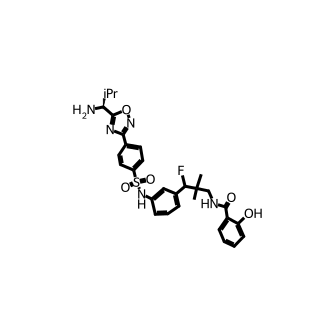 CC(C)[C@H](N)c1nc(-c2ccc(S(=O)(=O)Nc3cccc(C(F)C(C)(C)CNC(=O)c4ccccc4O)c3)cc2)no1